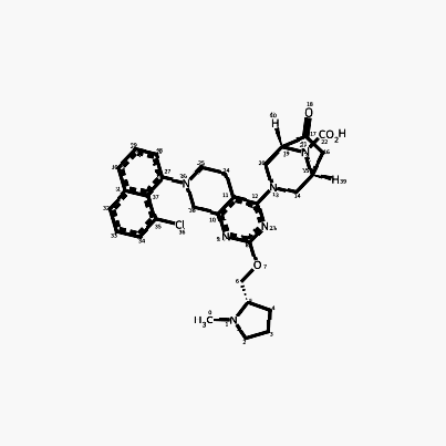 CN1CCC[C@H]1COc1nc2c(c(N3C[C@H]4CC(=O)[C@@H](C3)N4C(=O)O)n1)CCN(c1cccc3cccc(Cl)c13)C2